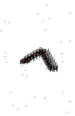 O=[N+]([O-])O.O=[N+]([O-])O.O=[N+]([O-])O.O=[N+]([O-])O.O=[N+]([O-])O.O=[N+]([O-])O.O=[N+]([O-])O.O=[N+]([O-])O.O=[N+]([O-])O.O=[N+]([O-])O.O=[N+]([O-])O.O=[N+]([O-])O.[KH].[KH].[KH].[KH].[KH].[KH].[KH].[KH]